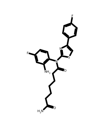 NC(=O)CCCCCC(=O)N(c1nc(-c2ccc(F)cc2)cs1)c1ccc(F)cc1N